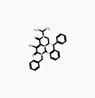 CC(C)N1C[C@H](C(c2ccccc2)c2ccccc2)n2c(c(O)c(=O)n(Cc3ccccc3)c2=O)C1=O